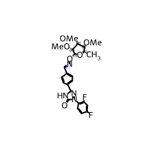 CO[C@@H]1[C@@H](OC)[C@H](C)O[C@@H](O/N=C/c2ccc(-c3nn(-c4ccc(F)cc4F)c(=O)[nH]3)cc2)[C@@H]1OC